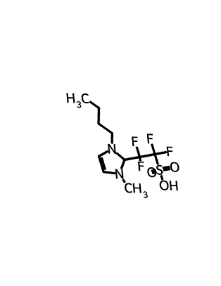 CCCCN1C=CN(C)C1C(F)(F)C(F)(F)S(=O)(=O)O